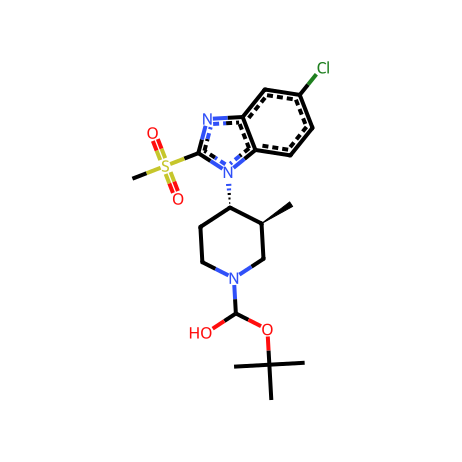 C[C@H]1CN(C(O)OC(C)(C)C)CC[C@@H]1n1c(S(C)(=O)=O)nc2cc(Cl)ccc21